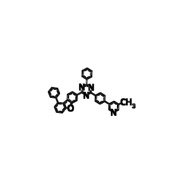 Cc1cncc(-c2ccc(-c3nc(-c4ccccc4)nc(-c4ccc5c(c4)oc4cccc(-c6ccccc6)c45)n3)cc2)c1